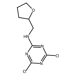 Clc1nc(Cl)nc(NCC2CCCO2)n1